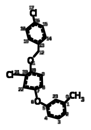 Cc1cccc(Oc2ccc(OCc3ccc(Cl)cc3)c(Cl)c2)c1